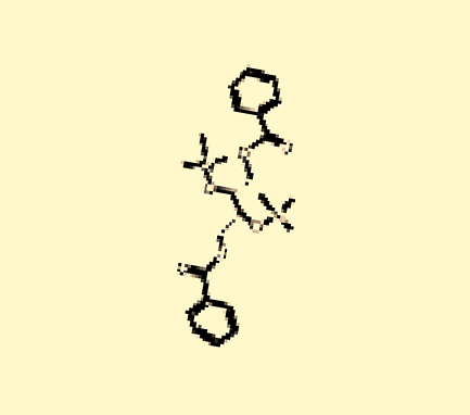 C[Si](C)(C)O[C@H](COC(=O)c1ccccc1)[C@@H](COC(=O)c1ccccc1)O[Si](C)(C)C